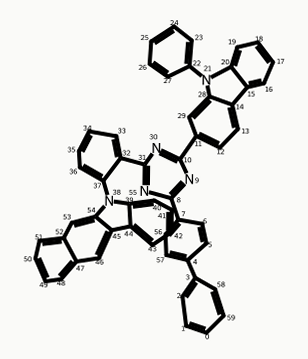 c1ccc(-c2ccc(-c3nc(-c4ccc5c6ccccc6n(-c6ccccc6)c5c4)nc(-c4ccccc4-n4c5ccccc5c5cc6ccccc6cc54)n3)cc2)cc1